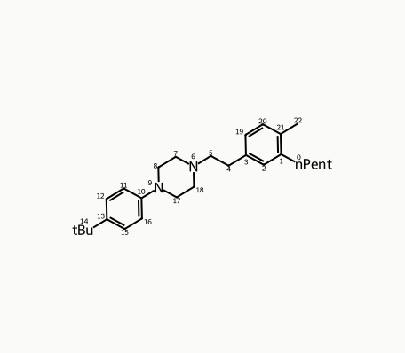 CCCCCc1cc(CCN2CCN(c3ccc(C(C)(C)C)cc3)CC2)ccc1C